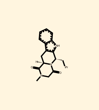 CC(C)C[C@H]1c2[nH]c3ccccc3c2C[C@@H]2C(=O)N(C)CC(=O)N21